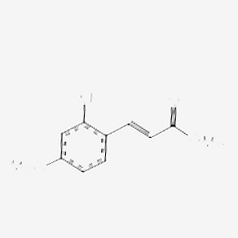 COC(=O)C=Cc1ccc(OC)cc1C